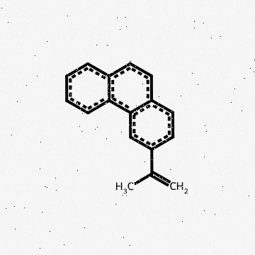 C=C(C)c1ccc2c[c]c3ccccc3c2c1